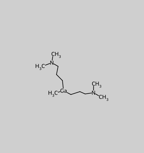 CN(C)CC[CH2][Ga]([CH3])[CH2]CCN(C)C